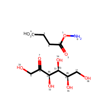 NOC(=O)CCC(=O)O.O=C(CO)[C@H](O)[C@@H](O)[C@H](O)CO